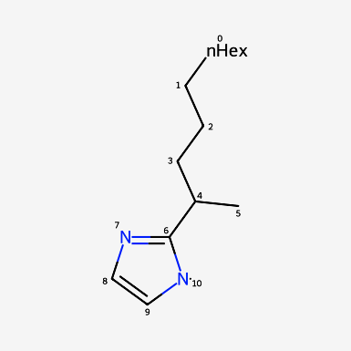 CCCCCCCCCC(C)C1=NC=C[N]1